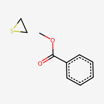 C1CS1.COC(=O)c1ccccc1